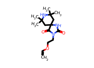 C=COCCN1C(=O)NC2(CC(C)(C)NC(C)(C)C2)C1=O